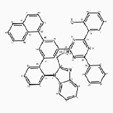 CCc1nc2ccccc2n1-c1ccccc1-c1cc(-c2nc(-c3ccccc3)nc(-c3ccccc3Cl)n2)cc(-c2cccc3ccccc23)c1